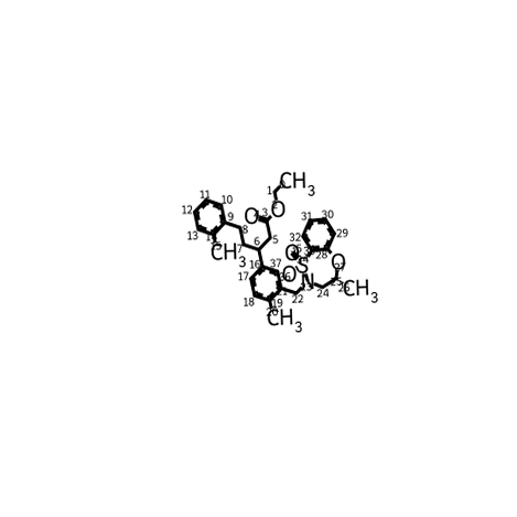 CCOC(=O)CC(CCc1ccccc1C)c1ccc(C)c(CN2C[C@@H](C)Oc3ccccc3S2(=O)=O)c1